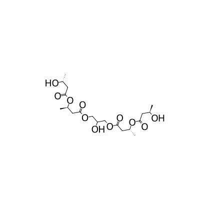 C[C@H](CC(=O)OCC(O)COC(=O)C[C@@H](C)OC(=O)C[C@@H](C)O)OC(=O)C[C@@H](C)O